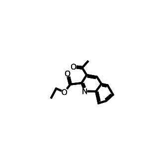 CCOC(=O)c1nc2ccccc2cc1C(C)=O